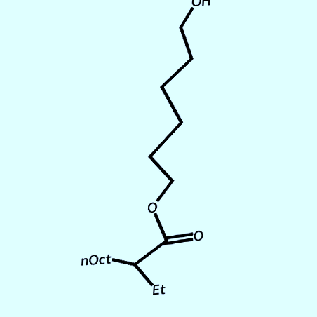 CCCCCCCCC(CC)C(=O)OCCCCCCO